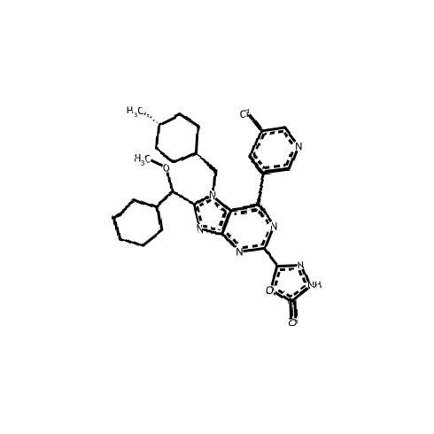 COC(c1nc2nc(-c3n[nH]c(=O)o3)nc(-c3cncc(Cl)c3)c2n1C[C@H]1CC[C@H](C)CC1)C1CCCCC1